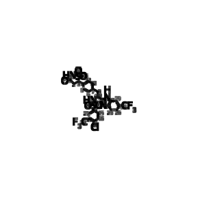 O=C1CC(c2ccc(C[C@H](NS(=O)(=O)c3ccc(Cl)c(C(F)(F)F)c3)c3nc4ccc(C(F)(F)F)cc4[nH]3)cc2)S(=O)(=O)N1